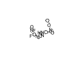 Fc1cc(-n2ccc3cnc(Nc4ccc([C@H]5COCCN5CCOCc5ccccc5)cc4)nc32)cc(F)c1CN1CCOCC1